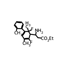 CCOC(=O)CC(N)C1C(F)=C(C)C=C(c2ccccc2C)C1(C)F